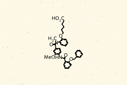 COc1cc(C(=O)N(C)c2ccccc2OCCCCCC(=O)O)ccc1NC(=O)c1ccccc1OCc1ccccc1